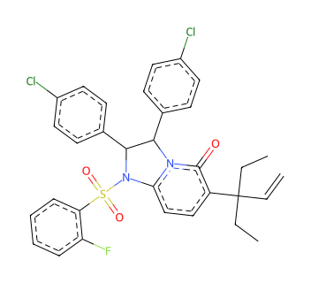 C=CC(CC)(CC)c1ccc2n(c1=O)C(c1ccc(Cl)cc1)C(c1ccc(Cl)cc1)N2S(=O)(=O)c1ccccc1F